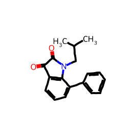 CC(C)CN1C(=O)C(=O)c2cccc(-c3ccccc3)c21